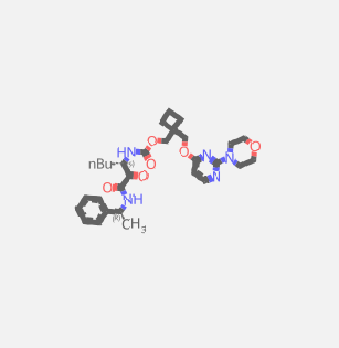 CCCC[C@H](NC(=O)OCC1(COc2ccnc(N3CCOCC3)n2)CCC1)C(=O)C(=O)N[C@H](C)c1ccccc1